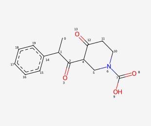 CC(C(=O)C1CN(C(=O)O)CCC1=O)c1ccccc1